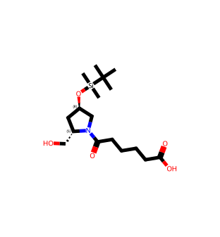 CC(C)(C)[Si](C)(C)O[C@@H]1C[C@@H](CO)N(C(=O)CCCCC(=O)O)C1